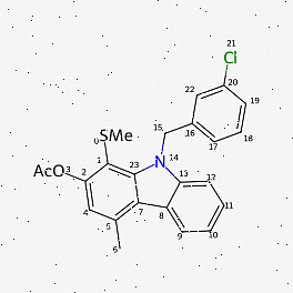 CSc1c(OC(C)=O)cc(C)c2c3ccccc3n(Cc3cccc(Cl)c3)c12